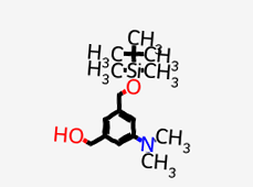 CN(C)c1cc(CO)cc(CO[Si](C)(C)C(C)(C)C)c1